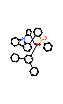 O=P1(c2ccccc2)c2ccccc2C2(c3ccccc3-n3c4ccccc4c4cccc2c43)c2cc(-c3cc(-c4ccccc4)cc(-c4ccccc4)c3)ccc21